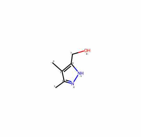 [CH2]c1c(C)n[nH]c1CO